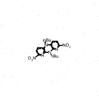 CCCCN1c2ccc([N+](=O)[O-])nc2N(CCCC)c2nc([N+](=O)[O-])ccc21